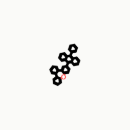 c1ccc(-c2c3ccccc3c(-c3ccc4c(c3)-c3ccccc3-c3ccccc3O4)c3ccccc23)cc1